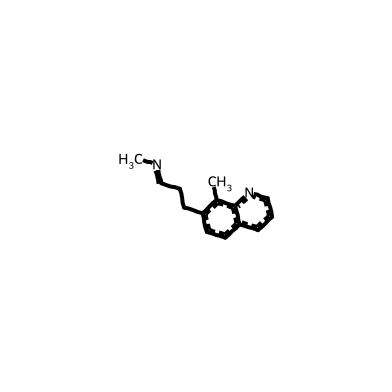 C/N=C/CCc1ccc2cccnc2c1C